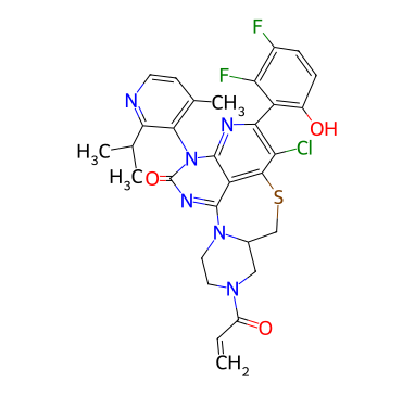 C=CC(=O)N1CCN2c3nc(=O)n(-c4c(C)ccnc4C(C)C)c4nc(-c5c(O)ccc(F)c5F)c(Cl)c(c34)SCC2C1